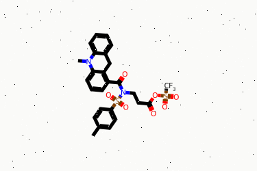 Cc1ccc(S(=O)(=O)N(CCC(=O)OS(=O)(=O)C(F)(F)F)C(=O)c2cccc3c2Cc2ccccc2N3C)cc1